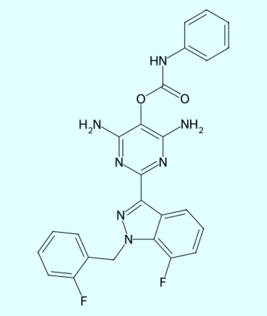 Nc1nc(-c2nn(Cc3ccccc3F)c3c(F)cccc23)nc(N)c1OC(=O)Nc1ccccc1